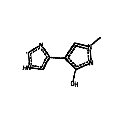 Cn1cc(-c2c[nH][c]n2)c(O)n1